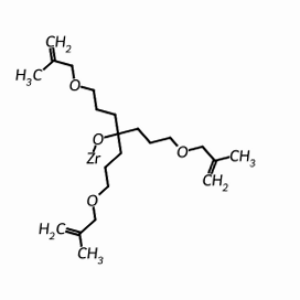 C=C(C)COCCCC(CCCOCC(=C)C)(CCCOCC(=C)C)[O][Zr]